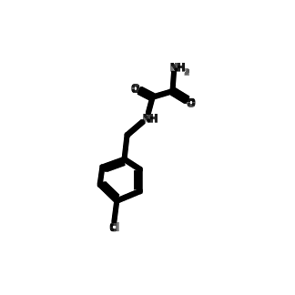 NC(=O)C(=O)NCc1ccc(Cl)cc1